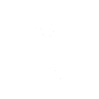 O=C(O)c1ccc(F)c(-c2c(F)cc(C3CCS(O)(O)CC3)cc2F)n1